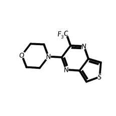 FC(F)(F)c1nc2cscc2nc1N1CCOCC1